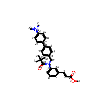 COC(=O)C=Cc1cccc(N(Cc2ccc(-c3ccc(N(C)C)cc3)cc2)C(=O)C(C)(C)C)c1